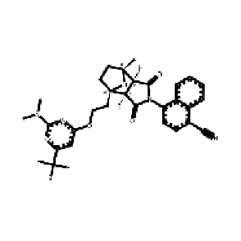 CN(C)c1nc(OCC[C@@]23CC[C@@](C)(O2)[C@H]2C(=O)N(c4ccc(C#N)c5ccccc45)C(=O)[C@H]23)cc(C(F)(F)F)n1